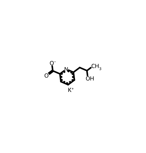 CC(O)Cc1cccc(C(=O)[O-])n1.[K+]